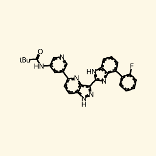 CC(C)(C)C(=O)Nc1cncc(-c2ccc3[nH]nc(-c4nc5c(-c6ccccc6F)cccc5[nH]4)c3n2)c1